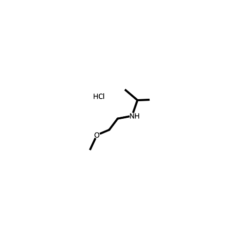 COCCNC(C)C.Cl